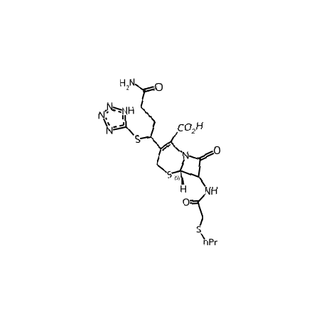 CCCSCC(=O)NC1C(=O)N2C(C(=O)O)=C(C(CCC(N)=O)Sc3nnn[nH]3)CS[C@@H]12